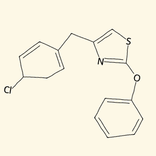 ClC1C=CC(Cc2csc(Oc3ccccc3)n2)=CC1